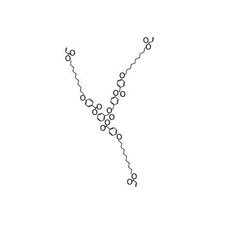 C=CC(=O)OCCCCCCCCCCCOc1ccc(C(=O)Oc2ccc(OC(=O)c3ccc(OCCCCCCCCCCCOC(=O)C=C)cc3)c(C(=O)OCc3ccc(OC(=O)c4ccc(OCCCCCCCCCCOC(=O)C=C)cc4)cc3)c2)cc1